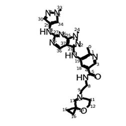 Cc1ncc(C(=O)NCCN2CCOC3(CC3)C2)cc1Nc1nn(C)c2nc(Nc3cnn(C)c3)ncc12